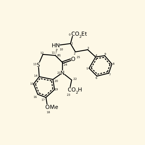 CCOC(=O)C(CCc1ccccc1)N[C@H]1CSc2ccc(OC)cc2N(CC(=O)O)C1=O